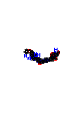 N=C(c1ccc(Oc2ccccc2)cc1)c1c(N)ncnc1NC1CCN(C(=O)N2CC(N3CCN(c4ccc5c(c4)C(=O)N(C4CCC(=O)NC4=O)C5=O)CC3)C2)CC1